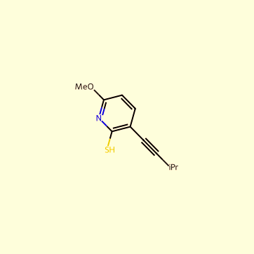 COc1ccc(C#CC(C)C)c(S)n1